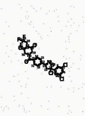 CC1(c2cc(Cl)cc(Cl)c2)CC(c2ccc(C(=O)N3CC(=O)N(CC(F)(F)F)C(=O)C3)cc2)=NO1